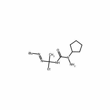 CCC(C)N=NC(C)(CC)NC(=O)N(N)C1CCCC1